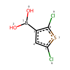 OB(O)c1cc(Cl)sc1Cl